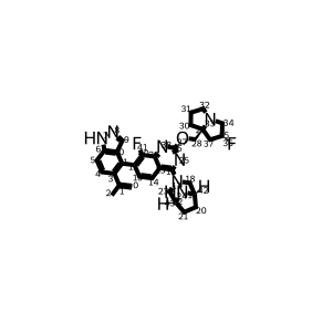 C=C(C)c1ccc2[nH]ncc2c1-c1ccc2c(N3C[C@H]4CC[C@@H](C3)N4)nc(OC[C@@]34CCCN3C[C@H](F)C4)nc2c1F